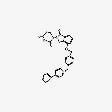 O=C1CCC(N2Cc3c(OCc4ccc(C[n+]5ccc(-c6ccccn6)cc5)cc4)cccc3C2=O)C(=O)N1